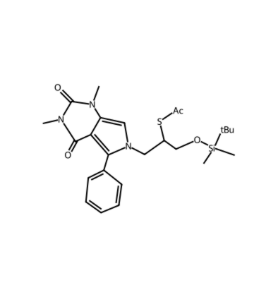 CC(=O)SC(CO[Si](C)(C)C(C)(C)C)Cn1cc2c(c1-c1ccccc1)c(=O)n(C)c(=O)n2C